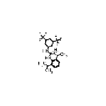 CC(C)c1cccc(C(C)C)c1NC(=S)NC1CC(C(F)(F)F)CC(C(F)(F)F)C1